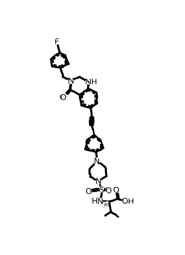 CC(C)[C@@H](NS(=O)(=O)N1CCN(c2ccc(C#Cc3ccc4c(c3)C(=O)N(Cc3ccc(F)cc3)CN4)cc2)CC1)C(=O)O